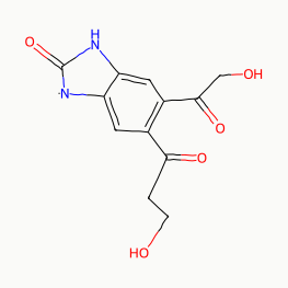 O=C1[N]c2cc(C(=O)CCO)c(C(=O)CO)cc2N1